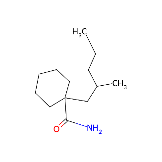 CCCC(C)CC1(C(N)=O)CCCCC1